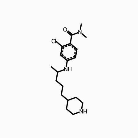 CC(CCCC1CCNCC1)Nc1ccc(C(=O)N(C)C)c(Cl)c1